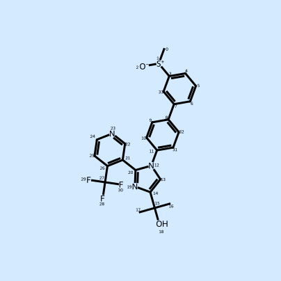 C[S+]([O-])c1cccc(-c2ccc(-n3cc(C(C)(C)O)nc3-c3cnccc3C(F)(F)F)cc2)c1